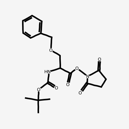 CC(C)(C)OC(=O)NC(COCc1ccccc1)C(=O)ON1C(=O)CCC1=O